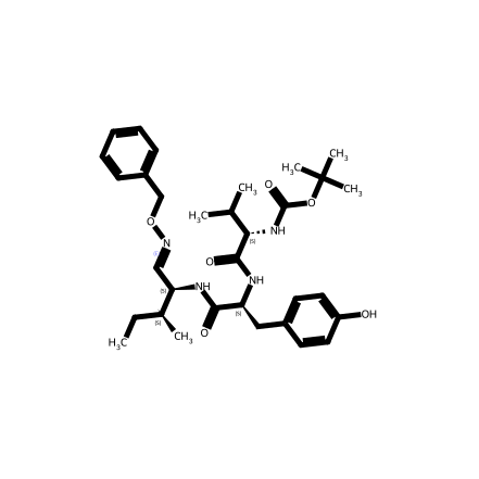 CC[C@H](C)[C@@H](/C=N/OCc1ccccc1)NC(=O)[C@H](Cc1ccc(O)cc1)NC(=O)[C@@H](NC(=O)OC(C)(C)C)C(C)C